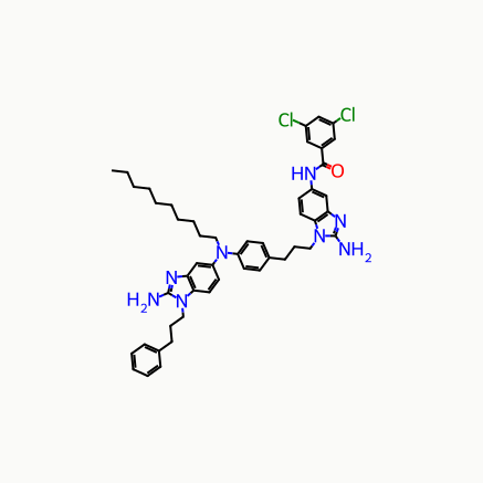 CCCCCCCCCCN(c1ccc(CCCn2c(N)nc3cc(NC(=O)c4cc(Cl)cc(Cl)c4)ccc32)cc1)c1ccc2c(c1)nc(N)n2CCCc1ccccc1